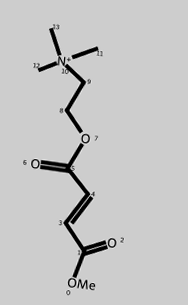 COC(=O)/C=C/C(=O)OCC[N+](C)(C)C